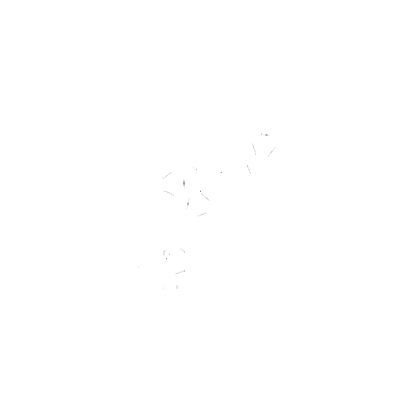 CC(C)[C@@H](NC(=O)COc1ccc([C@@H]2[C@H](SCC(=O)c3ccc(F)cc3)C[N+]2([O-])c2ccc(F)cc2)cc1)C(=O)O